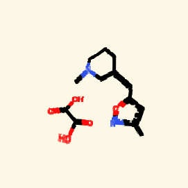 Cc1cc(C=C2CCCN(C)C2)on1.O=C(O)C(=O)O